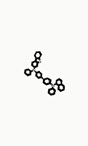 C1=Cc2sc3cc(N(c4ccccc4)c4ccc(-c5ccc(N(c6ccccc6)c6cccc7ccccc67)cc5)cc4)ccc3c2CC1